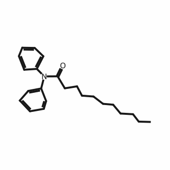 CCCCCCCCCCC(=O)N(c1ccccc1)c1ccccc1